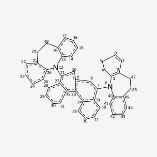 C1=CC2=C(CC1)N(c1cc3cc(N4c5ccccc5CCc5ccccc54)c4ccccc4c3c3ccccc13)c1ccccc1CC2